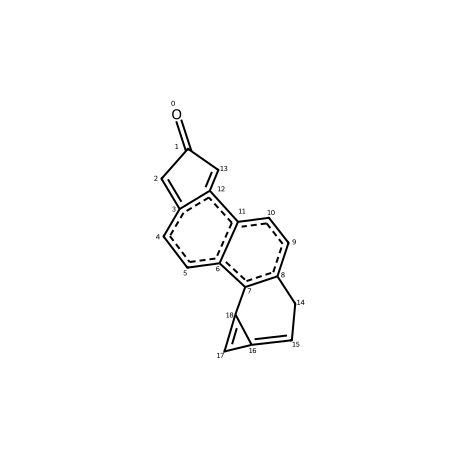 O=C1C=c2ccc3c4c(ccc3c2=C1)CC=C1C=C14